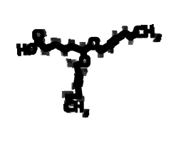 CCCC#CCOC(CCCCC(=O)O)OCC#CCCC